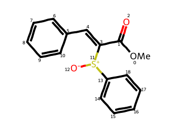 COC(=O)C(=Cc1ccccc1)[S+]([O-])c1ccccc1